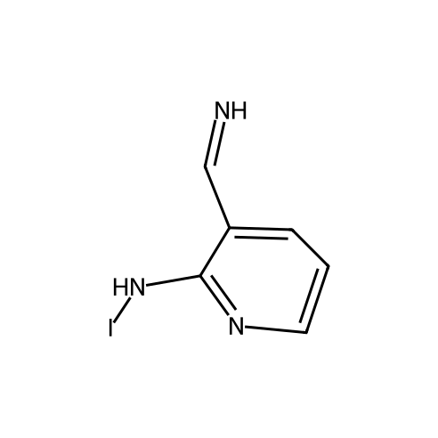 N=Cc1cccnc1NI